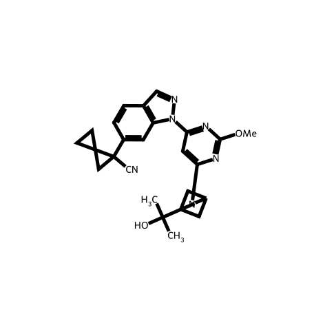 COc1nc(N2CC3(C(C)(C)O)CC2C3)cc(-n2ncc3ccc(C4(C#N)CC45CC5)cc32)n1